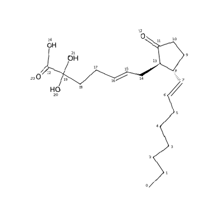 CCCCCCC=C[C@H]1CCC(=O)[C@@H]1CC=CCCC(O)(O)C(=O)O